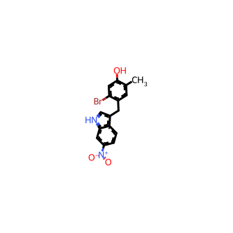 Cc1cc(Cc2c[nH]c3cc([N+](=O)[O-])ccc23)c(Br)cc1O